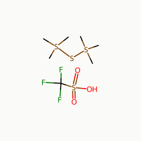 CS(C)(C)SS(C)(C)C.O=S(=O)(O)C(F)(F)F